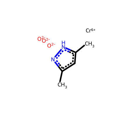 Cc1cc(C)[nH]n1.[Cr+6].[O-2].[O-2].[O-2]